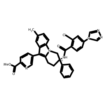 COC(=O)c1ccc(-c2c3n(c4ccc(C)cc24)C[C@@](NC(=O)c2ccc(-n4cnnc4)cc2Cl)(c2ccccc2)CC3)cn1